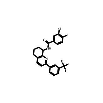 O=C(NC1CCCc2ccc(-c3cccc(C(F)(F)F)c3)nc21)c1ccc(F)c(Cl)c1